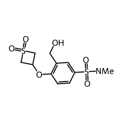 CNS(=O)(=O)c1ccc(OC2CS(=O)(=O)C2)c(CO)c1